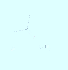 CC(C)=O.[CaH2].[Zr]